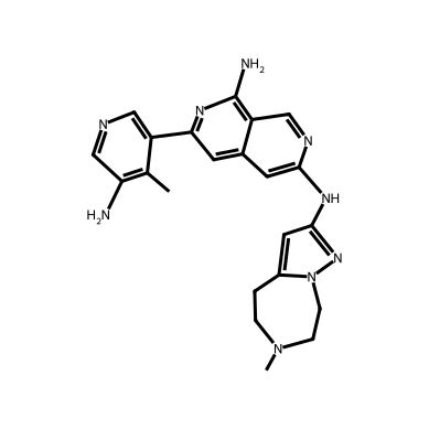 Cc1c(N)cncc1-c1cc2cc(Nc3cc4n(n3)CCN(C)CC4)ncc2c(N)n1